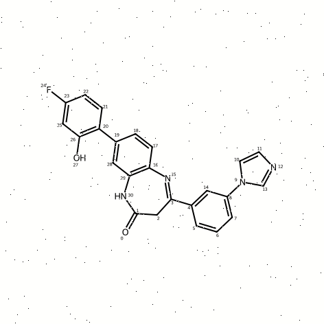 O=C1CC(c2cccc(-n3ccnc3)c2)=Nc2ccc(-c3ccc(F)cc3O)cc2N1